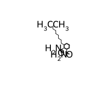 CC(C)CCCCCCCc1cccc(C(N)=O)c1C(N)=O